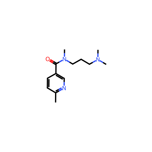 Cc1ccc(C(=O)N(C)CCCN(C)C)cn1